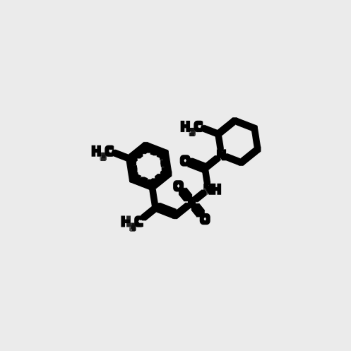 CC(=CS(=O)(=O)NC(=O)N1CCCCC1C)c1cccc(C)c1